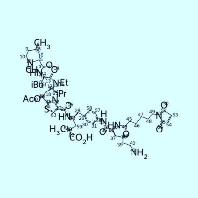 CC[C@H](C)[C@H](NC(=O)C1C[C@H](C)CCN1C)C(=O)N(CC)[C@H](C[C@@H](OC(C)=O)c1nc(C(=O)N[C@@H](Cc2ccc(NC(=O)[C@H](CCCCN)NC(=O)CCCCCN3C(=O)C=CC3=O)cc2)C[C@H](C)C(=O)O)cs1)C(C)C